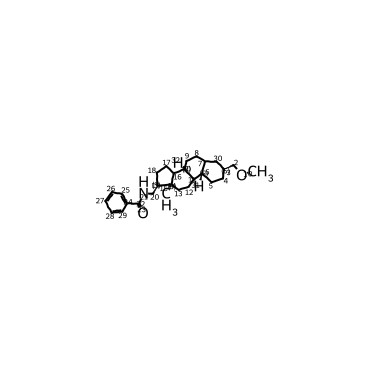 COC[C@H]1CC[C@H]2C(CC[C@@H]3C2CC[C@@]2(C)C3CC[C@@H]2CNC(=O)c2ccccc2)C1